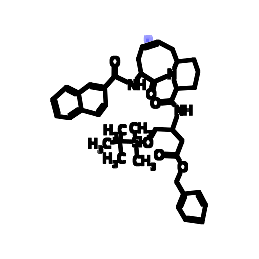 CC(C)(C)[Si](C)(C)OCC(CC(=O)OCc1ccccc1)NC(=O)C1CCCC2C/C=C\CC(NC(=O)c3ccc4ccccc4c3)C(=O)N21